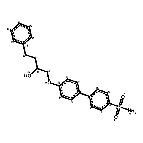 NS(=O)(=O)c1ccc(-c2ccc(OCC(O)CCc3cccnc3)cc2)cc1